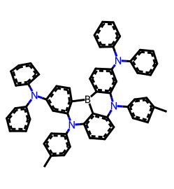 Cc1ccc(N2c3cc(N(c4ccccc4)c4ccccc4)ccc3B3c4ccc(N(c5ccccc5)c5ccccc5)cc4N(c4ccc(C)cc4)c4cccc2c43)cc1